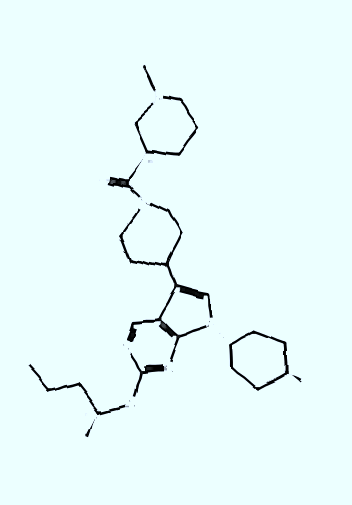 CCC[C@H](C)Nc1ncc2c(C3CCN(C(=O)[C@@H]4CCCN(C)C4)CC3)cn([C@H]3CC[C@H](O)CC3)c2n1